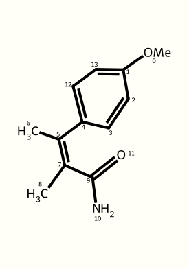 COc1ccc(C(C)=C(C)C(N)=O)cc1